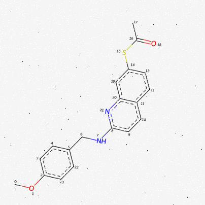 COc1ccc(CNc2ccc3ccc(SC(C)=O)cc3n2)cc1